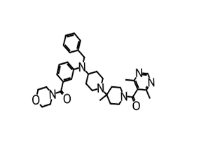 Cc1ncnc(C)c1C(=O)N1CCC(C)(N2CCC(N(Cc3ccccc3)c3cccc(C(=O)N4CCOCC4)c3)CC2)CC1